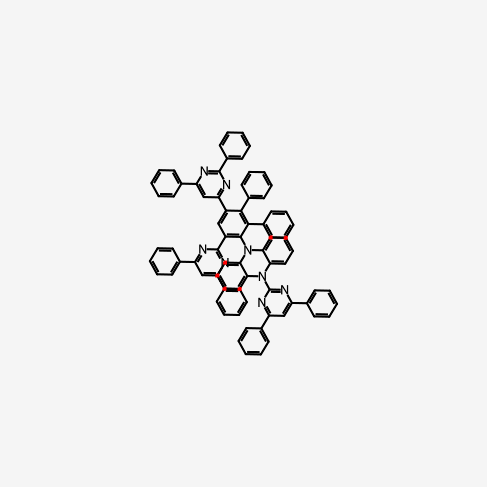 c1ccc(-c2cc(-c3cc(-c4nc(-c5ccccc5)cc(-c5ccccc5)n4)c(N4c5ccccc5N(c5nc(-c6ccccc6)cc(-c6ccccc6)n5)c5ccccc54)c(-c4ccccc4)c3-c3ccccc3)nc(-c3ccccc3)n2)cc1